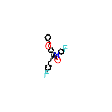 O=C1[C@H](CCCc2ccc(F)cc2)[C@@H](c2ccc(OCc3ccccc3)cc2)N1c1ccc(F)cc1